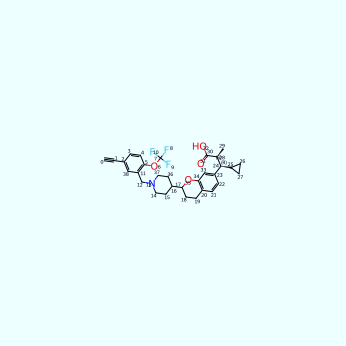 C#Cc1ccc(OC(F)(F)F)c(CN2CCC(C3CCc4ccc([C@H](C5CC5)[C@H](C)C(=O)O)cc4O3)CC2)c1